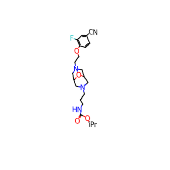 CC(C)OC(=O)NCCCN1CC2CN(CCOc3ccc(C#N)cc3F)CC(C1)O2